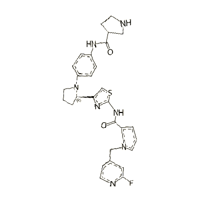 O=C(Nc1nc([C@H]2CCCN2c2ccc(NC(=O)C3CCNC3)cc2)cs1)c1cccn1Cc1ccnc(F)c1